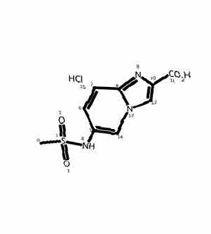 CS(=O)(=O)Nc1ccc2nc(C(=O)O)cn2c1.Cl